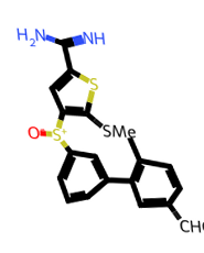 CSc1sc(C(=N)N)cc1[S+]([O-])c1cccc(-c2cc(C=O)ccc2C)c1